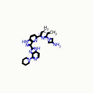 C=C/C(=N\C(=C/C)c1ccc2[nH]nc(-c3nc4c(N5CCCCC5)nccc4[nH]3)c2n1)N1CC(N)C1